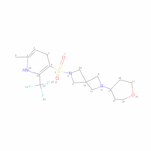 CC1=CCC(S(=O)(=O)N2CC3(CN(C4CCOCC4)C3)C2)=C(C(F)(F)F)N1